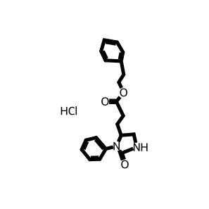 Cl.O=C(CCC1CNC(=O)N1c1ccccc1)OCCc1ccccc1